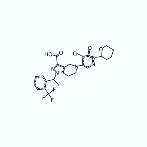 CC(c1ccccc1C(F)(F)F)n1nc(C(=O)O)c2c1CCN(c1cnn(C3CCCCO3)c(=O)c1Cl)C2